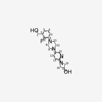 OCc1cccc(N2CCN(c3ccc(N4CC(O)C4)nc3)CC2)c1F